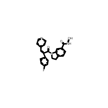 O=C(NO)c1ccc2c(c1)N(C(=O)/C(=C\c1ccncc1)c1ccc(F)cc1)CC2